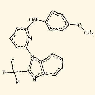 COc1ccc(Nc2cccc(-n3c(C(F)(F)F)nc4ccccc43)n2)cc1